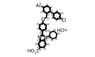 CC(=O)c1ccc(-c2ccc(Cl)cc2)c(COc2ccc(-c3nc4cc(C(=O)O)ccc4n3C3CCCCC3)cc2)c1.Cl